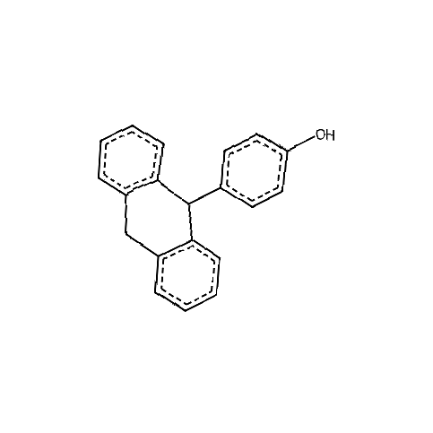 Oc1ccc(C2c3ccccc3Cc3ccccc32)cc1